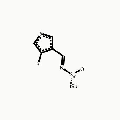 CC(C)(C)[S@@+]([O-])N=Cc1cscc1Br